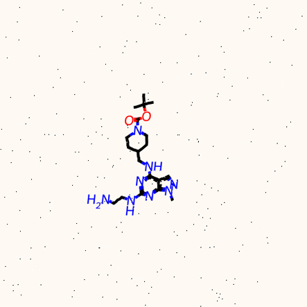 Cn1ncc2c(NCC3CCN(C(=O)OC(C)(C)C)CC3)nc(NCCN)nc21